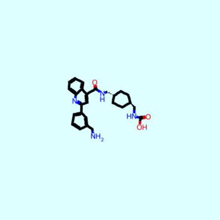 NCc1cccc(-c2cc(C(=O)NC[C@H]3CC[C@H](CNC(=O)O)CC3)c3ccccc3n2)c1